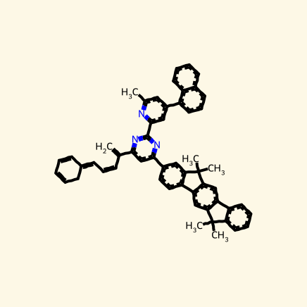 C=C(/C=C\C=C1\C=CC=CC1)c1cc(-c2ccc3c(c2)C(C)(C)c2cc4c(cc2-3)C(C)(C)c2ccccc2-4)nc(-c2cc(-c3cccc4ccccc34)cc(C)n2)n1